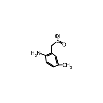 Cc1ccc(N)c(C[SH](=O)=O)c1